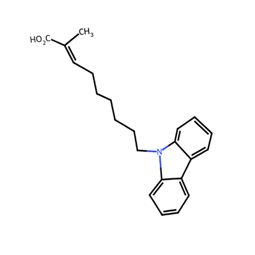 CC(=CCCCCCCn1c2ccccc2c2ccccc21)C(=O)O